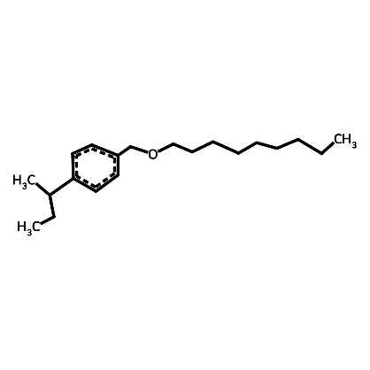 CCCCCCCCCOCc1ccc(C(C)CC)cc1